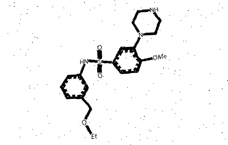 CCOCc1cccc(NS(=O)(=O)c2ccc(OC)c(N3CCNCC3)c2)c1